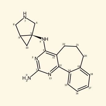 Nc1nc(N[C@]23CNCC2C3)c2c(n1)-c1ccccc1CCC2